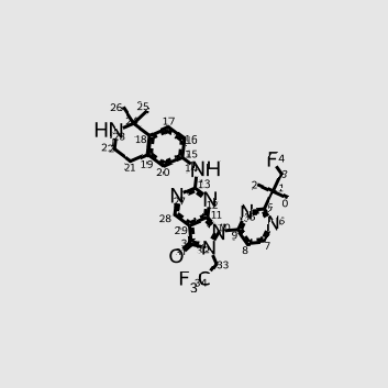 CC(C)(CF)c1nccc(-n2c3nc(Nc4ccc5c(c4)CCNC5(C)C)ncc3c(=O)n2CC(F)(F)F)n1